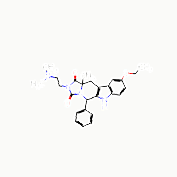 CCOc1ccc2[nH]c3c(c2c1)CC1(C)C(=O)N(CCN(C)C)C(=O)N1C3c1ccccc1